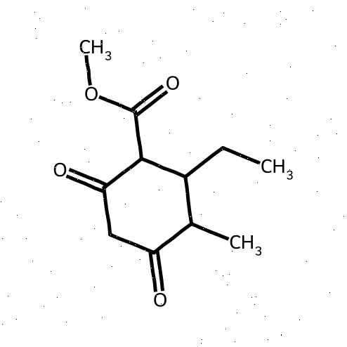 CCC1C(C)C(=O)CC(=O)C1C(=O)OC